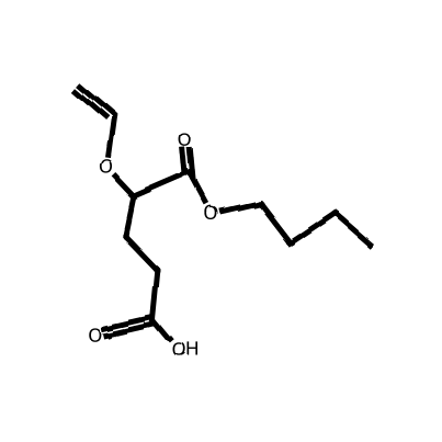 C=COC(CCC(=O)O)C(=O)OCCCC